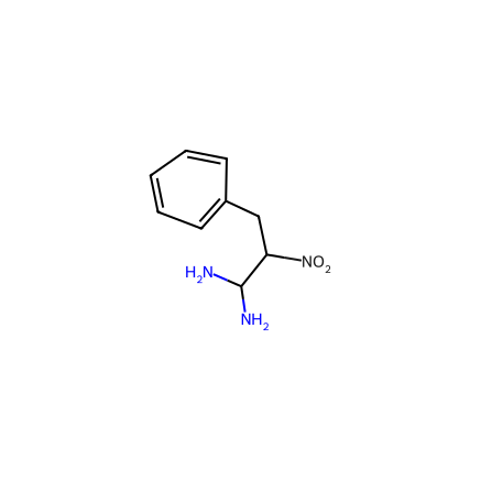 NC(N)C(Cc1ccccc1)[N+](=O)[O-]